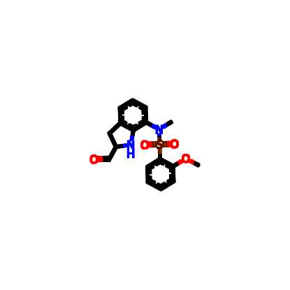 COc1ccccc1S(=O)(=O)N(C)c1cccc2c1NC(C=O)C2